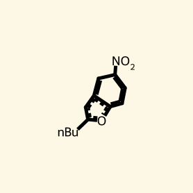 CCCCc1cc2c(o1)=C=C=C([N+](=O)[O-])C=2